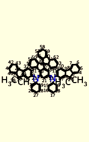 CC1(C)c2ccccc2-c2ccc(N(c3ccccc3)c3cc(N(c4ccccc4)c4ccc5c(c4)C(C)(C)c4ccccc4-5)c4c(c3)C3(c5ccccc5-4)c4ccccc4C4C=CC=CC43)cc21